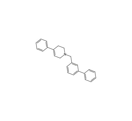 C1=C(c2ccccc2)CCN(Cc2cccc(-c3ccccc3)c2)C1